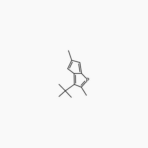 CC1=CC2=C(C(C)(C)C)C(C)=PC2=C1